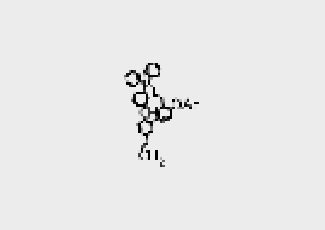 C=CCc1ccc(C)c(-c2ccc(OC(C)=O)c(CCC[PH](c3ccccc3)(c3ccccc3)c3ccccc3)c2)c1